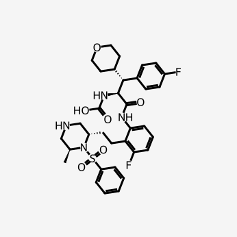 C[C@H]1CNC[C@H](CCc2c(F)cccc2NC(=O)[C@@H](NC(=O)O)[C@@H](c2ccc(F)cc2)C2CCOCC2)N1S(=O)(=O)c1ccccc1